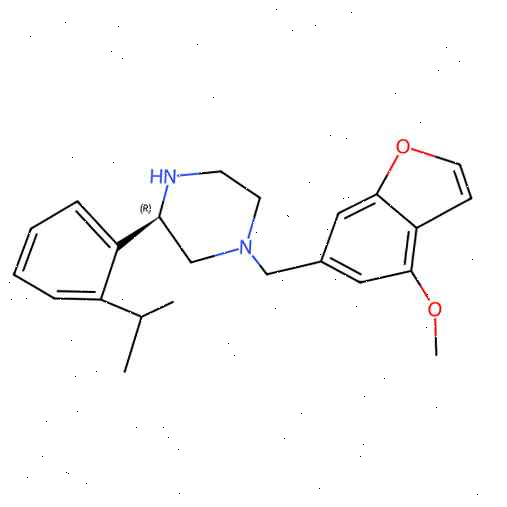 COc1cc(CN2CCN[C@H](c3ccccc3C(C)C)C2)cc2occc12